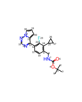 CC(C)(C)OC(=O)NCc1ccc(-c2ncnn3cccc23)c(F)c1C1CC1